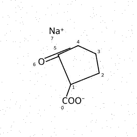 O=C([O-])C1CCCC1=O.[Na+]